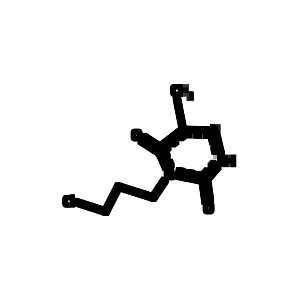 Cc1n[nH]c(=O)n(CCCCl)c1=O